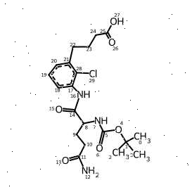 CC(C)(C)OC(=O)NC(CCC(N)=O)C(=O)Nc1cccc(CCCC(=O)O)c1Cl